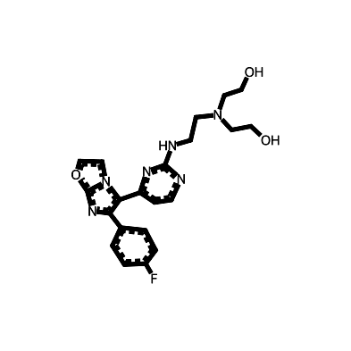 OCCN(CCO)CCNc1nccc(-c2c(-c3ccc(F)cc3)nc3occn23)n1